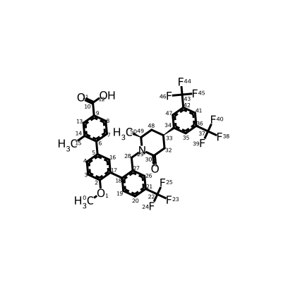 COc1ccc(-c2ccc(C(=O)O)cc2C)cc1-c1ccc(C(F)(F)F)cc1CN1C(=O)C[C@H](c2cc(C(F)(F)F)cc(C(F)(F)F)c2)C[C@@H]1C